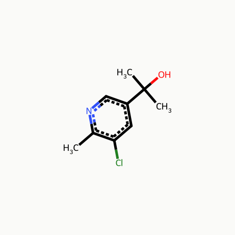 Cc1ncc(C(C)(C)O)cc1Cl